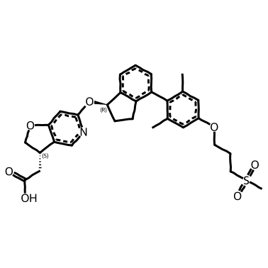 Cc1cc(OCCCS(C)(=O)=O)cc(C)c1-c1cccc2c1CC[C@H]2Oc1cc2c(cn1)[C@H](CC(=O)O)CO2